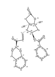 O=C1C[C@@H]2[C@@H](C=CC(=O)[C@@H]3OCc4ccccc4O3)[C@H](OC(=O)c3ccccc3)C[C@@H]2O1